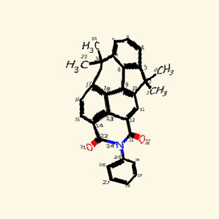 CC1(C)c2cccc3c2-c2c1cc1c4c(ccc(c24)C3(C)C)C(=O)N(c2ccccc2)C1=O